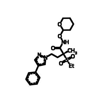 CCS(=O)(=O)[C@](C)(CCn1cc(-c2ccccc2)cn1)C(=O)NOC1CCCCO1